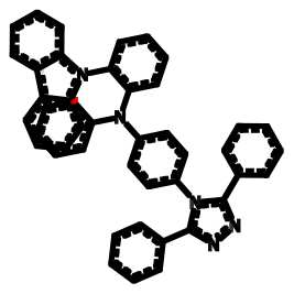 c1ccc(-c2nnc(-c3ccccc3)n2-c2ccc(N(c3ccccc3)c3ccccc3-n3c4ccccc4c4ccccc43)cc2)cc1